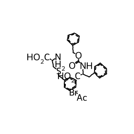 CC(=O)Br.N[C@@H](CSCc1ccccc1)C(=O)O.O=C(N[C@@H](Cc1ccccc1)C(=O)O)OCc1ccccc1